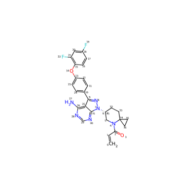 C=CC(=O)N1C[C@H](n2nc(-c3ccc(Oc4ccc(F)cc4F)cc3)c3c(N)ncnc32)CCC12CC2